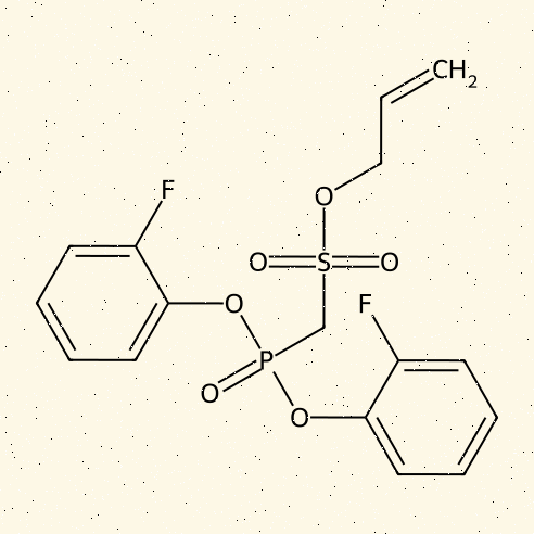 C=CCOS(=O)(=O)CP(=O)(Oc1ccccc1F)Oc1ccccc1F